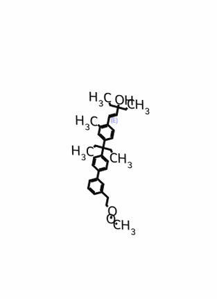 CCC(O)(/C=C/c1ccc(C(CC)(CC)c2ccc(-c3cccc(CCOOC)c3)cc2)cc1C)CC